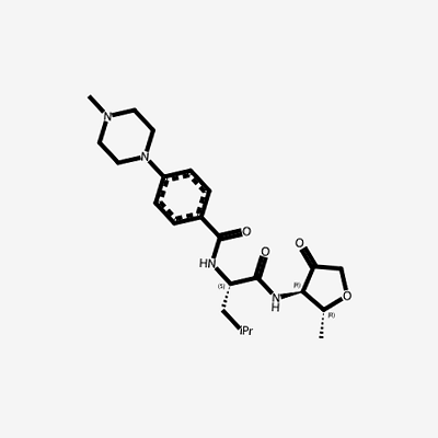 CC(C)C[C@H](NC(=O)c1ccc(N2CCN(C)CC2)cc1)C(=O)N[C@H]1C(=O)CO[C@@H]1C